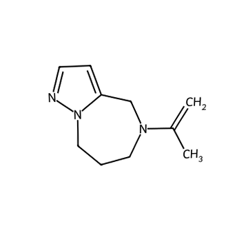 C=C(C)N1CCCn2nccc2C1